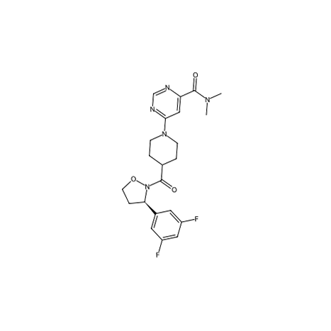 CN(C)C(=O)c1cc(N2CCC(C(=O)N3OCC[C@@H]3c3cc(F)cc(F)c3)CC2)ncn1